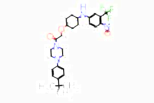 CC(C)(C)c1ccc(N2CCN(C(=O)COC3CCC(Nc4ccc(N=O)c(C(F)(F)F)c4)CC3)CC2)cc1